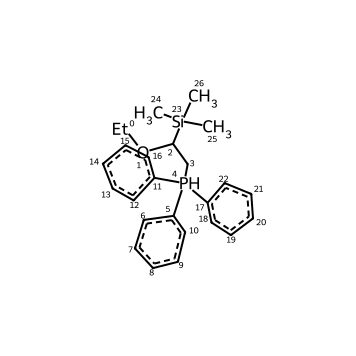 CCOC(C[PH](c1ccccc1)(c1ccccc1)c1ccccc1)[Si](C)(C)C